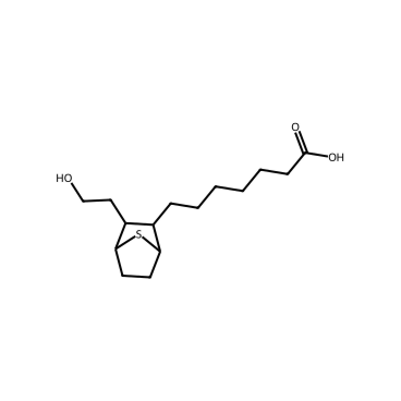 O=C(O)CCCCCCC1C2CCC(S2)C1CCO